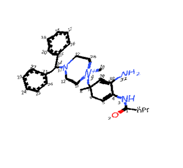 CCCC(=O)NC1=CCC(C)([N+]2(C)CCN(C(c3ccccc3)c3ccccc3)CC2)C=C1N